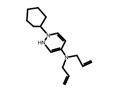 C=CCN(CC=C)C1=CNN(C2CCCCC2)C=C1